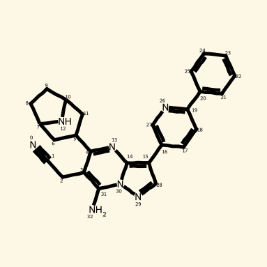 N#CCc1c(C2CC3CCC(C2)N3)nc2c(-c3ccc(-c4ccccc4)nc3)cnn2c1N